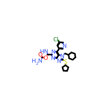 N=C(OC(N)=O)c1nc(-c2cncc(Cl)c2)c2c(n1)nc(SC1CCCC1)n2CC1CCCCC1